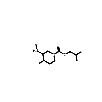 CNC1CN(C(=O)OCC(C)C)CCC1C